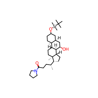 C[C@H](CCC(=O)N1CCCC1)[C@H]1CC[C@H]2[C@@H]3[C@H](O)C[C@@H]4CC(O[Si](C)(C)C(C)(C)C)CC[C@]4(C)[C@H]3CC[C@]12C